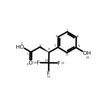 O=C(O)C[C@@H](c1cccc(O)c1)C(F)(F)F